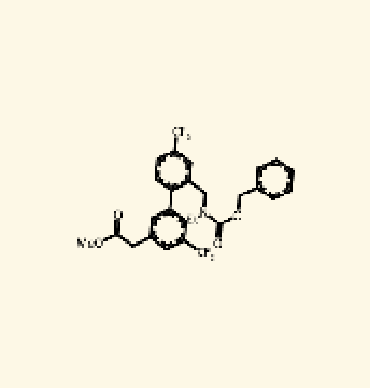 CCN(Cc1cc(C(F)(F)F)ccc1-c1cc(CC(=O)OC)cc(C(F)(F)F)c1)C(=O)OCc1ccccc1